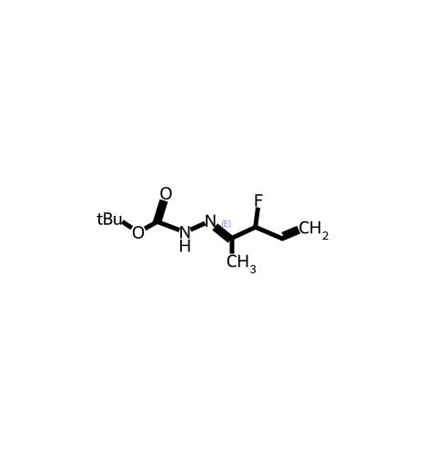 C=CC(F)/C(C)=N/NC(=O)OC(C)(C)C